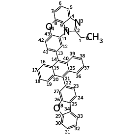 CCc1nc2cccc3c2n1-c1cc(-c2c4ccccc4c(-c4ccc5c(c4)oc4ccccc45)c4ccccc24)ccc1O3